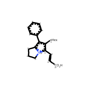 CCCCCCc1c(-c2ccccc2)c2n(c1/C=C/C(=O)O)CCC2